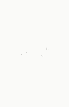 CC(=O)OCCC(N)C#N